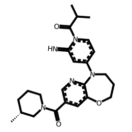 CC(C)C(=O)n1ccc(N2CCCOc3cc(C(=O)N4CCC[C@@H](C)C4)cnc32)cc1=N